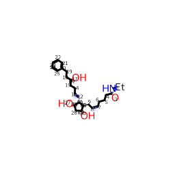 CCNC(=O)CCC/C=C\C[C@@H]1[C@@H](/C=C/CC[C@@H](O)CCc2ccccc2)[C@H](O)C[C@@H]1O